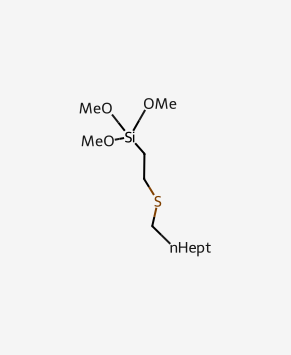 CCCCCCCCSCC[Si](OC)(OC)OC